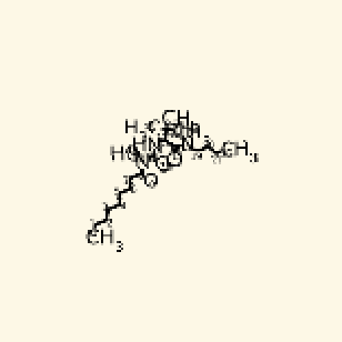 CCCCCCCCC(=O)N(O)C(=O)NC(C(=O)NCCCC)C(C)(C)C